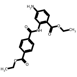 CCOC(=O)c1ccc(C(=O)Nc2cc(N)ccc2C(=O)OCC)cc1